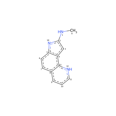 CNc1cc2c(ccc3ccc[nH]c32)n1